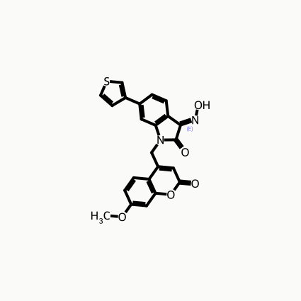 COc1ccc2c(CN3C(=O)/C(=N/O)c4ccc(-c5ccsc5)cc43)cc(=O)oc2c1